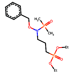 CCOP(=O)(CCCN(OCc1ccccc1)P(C)(C)=O)OCC